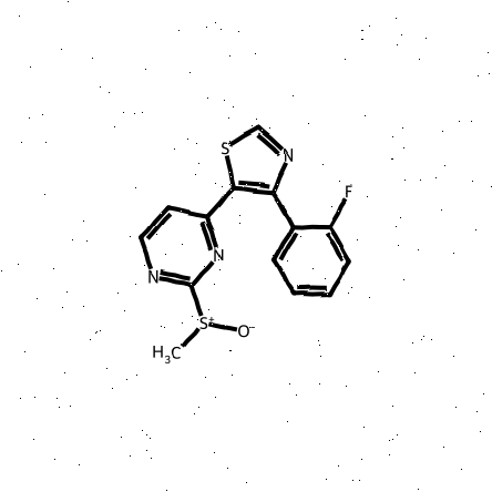 C[S+]([O-])c1nccc(-c2scnc2-c2ccccc2F)n1